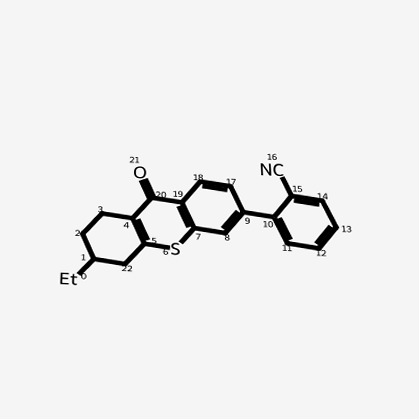 CCC1CCc2c(sc3cc(-c4ccccc4C#N)ccc3c2=O)C1